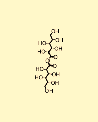 O=C(OC(=O)[C@H](O)[C@@H](O)[C@H](O)[C@H](O)CO)[C@H](O)[C@@H](O)[C@@H](O)[C@H](O)CO